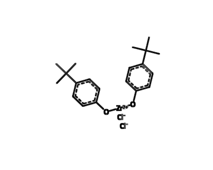 CC(C)(C)c1ccc([O][Zr+2][O]c2ccc(C(C)(C)C)cc2)cc1.[Cl-].[Cl-]